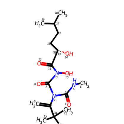 C=C(N(C(=O)NC)C(=O)N(O)C(=O)[C@@H](O)CCC(C)C)C(C)(C)C